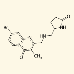 Cc1c(CNCC2CCC(=O)N2)nc2cc(Br)ccn2c1=O